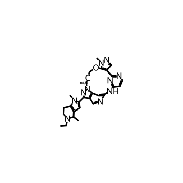 CCN1CCc2c(cc(-c3nn4c5cc(ncc35)Nc3ccnc(n3)-c3cnn(C)c3OCC[C@@H]4C)n2C)C1C